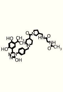 CC(=O)NCC(=O)NCC1CCN(C(=O)C2CCN(Cc3ccc(-n4c(O)nnc4-c4cc(C(C)C)c(O)cc4O)cc3)CC2)C1